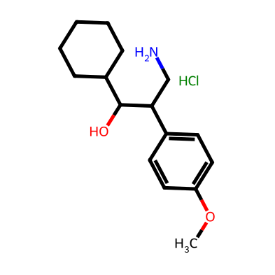 COc1ccc(C(CN)C(O)C2CCCCC2)cc1.Cl